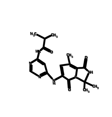 Cc1cc(Nc2cc(NC(=O)C(C)C)ncn2)c(=O)n2c1C(=O)NC2(C)C